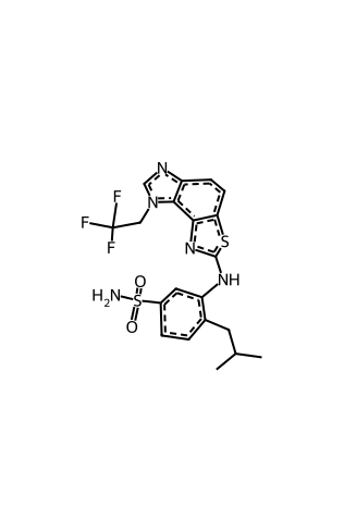 CC(C)Cc1ccc(S(N)(=O)=O)cc1Nc1nc2c(ccc3ncn(CC(F)(F)F)c32)s1